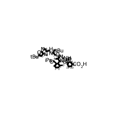 Cc1cccc(COC(C)C)c1-c1nc(NS(=O)(=O)c2cccc(C(=O)O)c2)nc(OCC(CC(C)(C)C)NCc2cnc3oc(C(C)(C)C)cc3n2)c1C